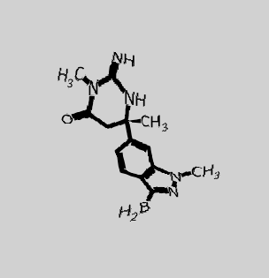 Bc1nn(C)c2cc([C@]3(C)CC(=O)N(C)C(=N)N3)ccc12